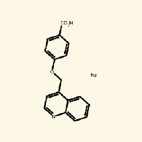 O=C(O)c1ccc(OCc2ccnc3ccccc23)cc1.[Na]